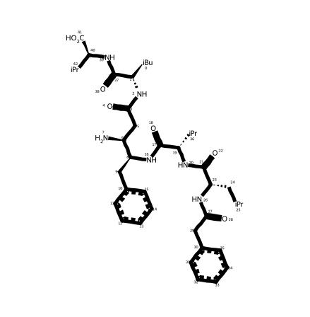 CC[C@H](C)[C@H](NC(=O)C[C@H](N)[C@H](Cc1ccccc1)NC(=O)[C@@H](NC(=O)[C@H](CC(C)C)NC(=O)Cc1ccccc1)C(C)C)C(=O)N[C@H](C(=O)O)C(C)C